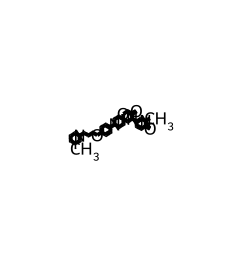 C[C@H]1CCCN(CCCOc2ccc(N3CCC4(CC3)CN(c3ccc(=O)n(C)c3)C(=O)CO4)cc2)C1